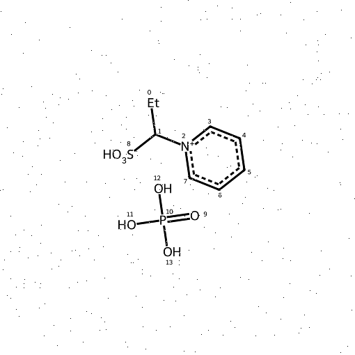 CCC([n+]1ccccc1)S(=O)(=O)O.O=P(O)(O)O